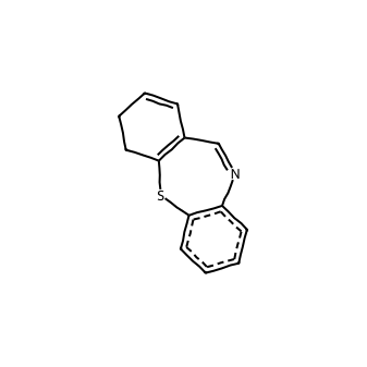 C1=CC2=C(CC1)Sc1ccccc1N=C2